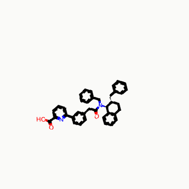 O=C(O)c1cccc(-c2cccc(CC(=O)N(Cc3ccccc3)[C@@H]3c4ccccc4CC[C@H]3Cc3ccccc3)c2)n1